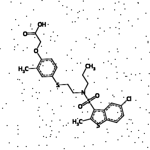 CCCN(CCSc1ccc(OCC(=O)O)c(C)c1)S(=O)(=O)c1c(C)sc2ccc(Cl)cc12